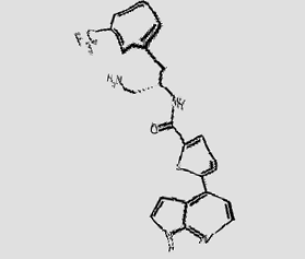 NC[C@H](Cc1cccc(C(F)(F)F)c1)NC(=O)c1ccc(-c2ccnc3[nH]ccc23)s1